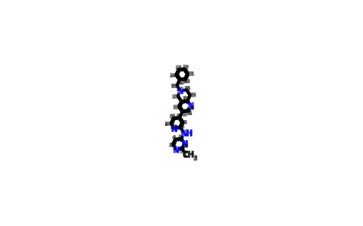 Cc1nccc(Nc2cc(-c3cnc4c(c3)CN(Cc3ccccc3)CC4)ccn2)n1